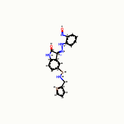 O=Nc1ccccc1N/N=C1\C(=O)Nc2ccc(SNCc3cccs3)cc21